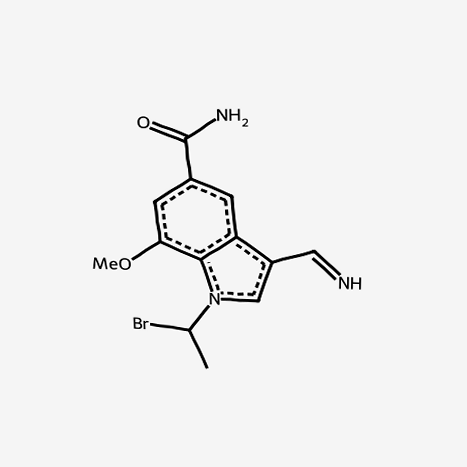 COc1cc(C(N)=O)cc2c(C=N)cn(C(C)Br)c12